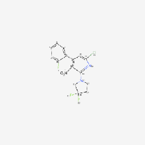 O=[N+]([O-])c1c(-c2ccccc2F)cc(Cl)nc1N1CCC(F)(F)C1